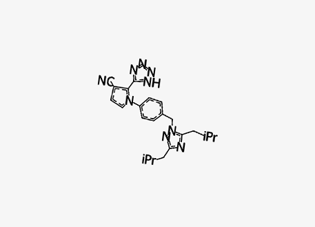 CC(C)Cc1nc(CC(C)C)n(Cc2ccc(-n3ccc(C#N)c3-c3nnn[nH]3)cc2)n1